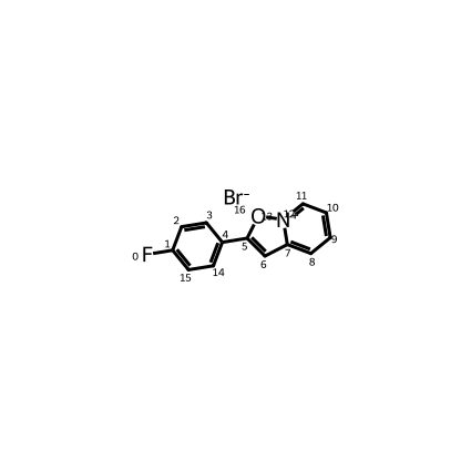 Fc1ccc(-c2cc3cccc[n+]3o2)cc1.[Br-]